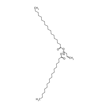 C=CC[SiH](OC(=O)CCCCCCCCCCCCCCCCC)OC(=O)CCCCCCCCCCCCCCCCC